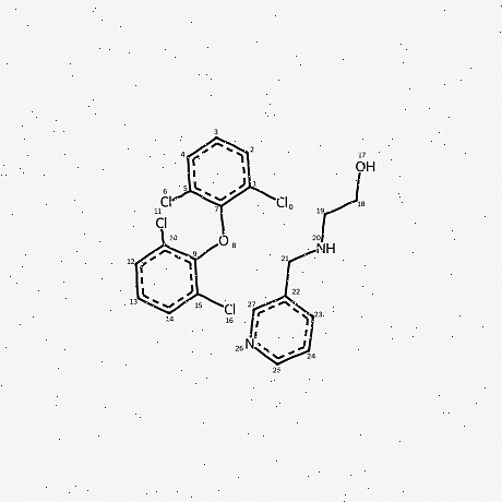 Clc1cccc(Cl)c1Oc1c(Cl)cccc1Cl.OCCNCc1cccnc1